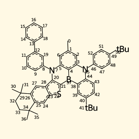 Cc1cc2c3c(c1)N(c1cccc(-c4ccccc4)c1)c1c(sc4cc5c(cc14)C(C)(C)CCC5(C)C)B3c1cc(C(C)(C)C)ccc1N2c1ccc(C(C)(C)C)cc1